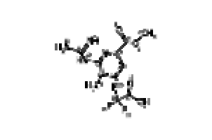 COC(=O)c1ccc(C)c(NC(=N)N)c1.O=C(O)C(F)(F)F